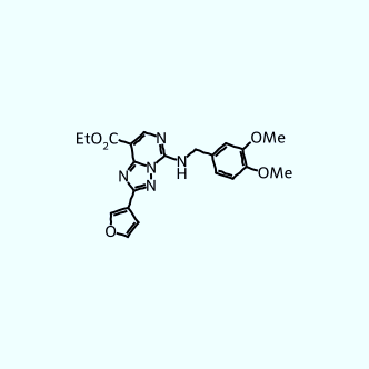 CCOC(=O)c1cnc(NCc2ccc(OC)c(OC)c2)n2nc(-c3ccoc3)nc12